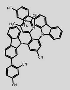 Cc1nc(C)nc(-c2c(-n3c4ccccc4c4ccc(-c5ccc(C#N)cc5C#N)cc43)cc(C#N)cc2-n2c3ccccc3c3ccc(-c4ccc(C#N)cc4C#N)cc32)n1